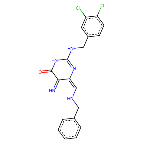 N=C1C(=O)NC(NCc2ccc(Cl)c(Cl)c2)=N/C1=C/NCc1ccccc1